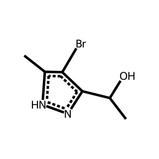 Cc1[nH]nc(C(C)O)c1Br